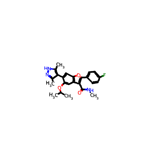 CNC(=O)c1c(-c2ccc(F)cc2)oc2cc(-c3c(C)n[nH]c3C)c(OC(C)C)cc12